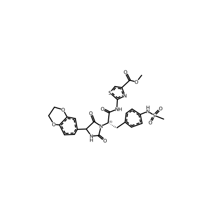 COC(=O)c1csc(NC(=O)[C@H](Cc2ccc(NS(C)(=O)=O)cc2)N2C(=O)NC(c3ccc4c(c3)OCCO4)C2=O)n1